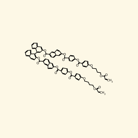 C=CC(=O)OCCCCOc1ccc(C(=O)Oc2ccc(C(=O)Oc3ccc4cc(C(=O)Oc5cc(-c6c(OC(=O)c7ccc8cc(OC(=O)c9ccc(OC(=O)c%10ccc(OCCCCOC(=O)C=C)cc%10)cc9)ccc8c7)ccc7ccccc67)c6ccccc6c5)ccc4c3)cc2)cc1